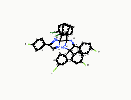 Fc1ccc(C2=NC(c3ccccc3Cl)(C3(c4ccccc4Cl)N=C(c4ccc(F)cc4)C(c4ccc(F)cc4)(c4ccc(F)cc4)N3)N=C2)cc1